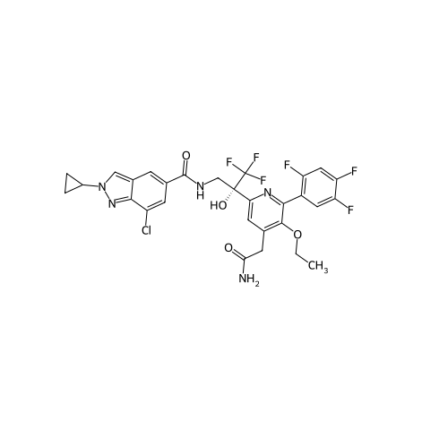 CCOc1c(CC(N)=O)cc([C@@](O)(CNC(=O)c2cc(Cl)c3nn(C4CC4)cc3c2)C(F)(F)F)nc1-c1cc(F)c(F)cc1F